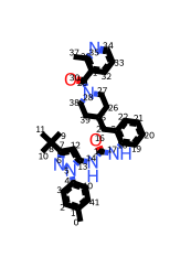 Cc1ccc(-n2nc(C(C)(C)C)cc2NC(=O)Nc2ccccc2CC2CCN(C(=O)c3cccnc3C)CC2)cc1